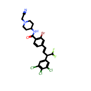 N#CCN1CCC(NC(=O)c2ccc(/C=C/C(c3cc(Cl)c(Cl)c(Cl)c3)C(F)F)cc2Br)CC1